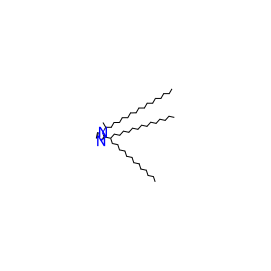 CCCCCCCCCCCCCCCCC(C)n1ccnc1C(CCCCCCCCCCCCC)CCCCCCCCCCCCCC